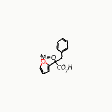 COC(Cc1ccccc1)(C(=O)O)c1ccco1